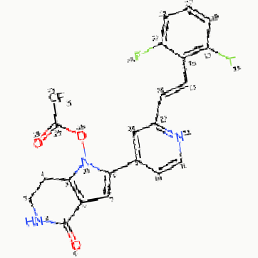 O=C1NCCc2c1cc(-c1ccnc(C=Cc3c(F)cccc3F)c1)n2OC(=O)C(F)(F)F